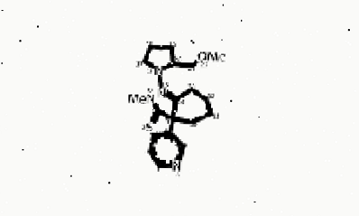 CNC(=S)C1(c2cccnc2)CCCCC1=NN1CCCC1COC